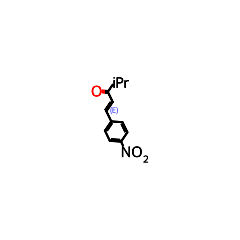 CC(C)C(=O)/C=C/c1ccc([N+](=O)[O-])cc1